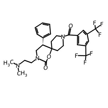 CN(C)CCN1C[C@H](c2ccccc2)C2(CCN(C(=O)c3cc(C(F)(F)F)cc(C(F)(F)F)c3)CC2)OC1=O